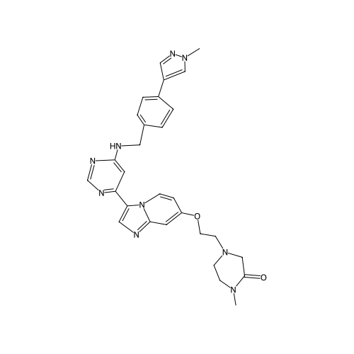 CN1CCN(CCOc2ccn3c(-c4cc(NCc5ccc(-c6cnn(C)c6)cc5)ncn4)cnc3c2)CC1=O